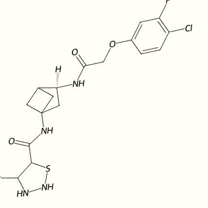 CC(C)C1NNSC1C(=O)NC12CC(C1)[C@@H](NC(=O)COc1ccc(Cl)c(F)c1)C2